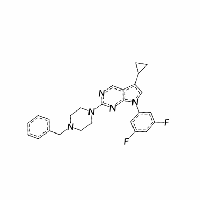 Fc1cc(F)cc(-n2cc(C3CC3)c3cnc(N4CCN(Cc5ccccc5)CC4)nc32)c1